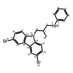 FC(CNc1ccccc1)Cn1c2ccc(Br)cc2c2cc(Br)ccc21